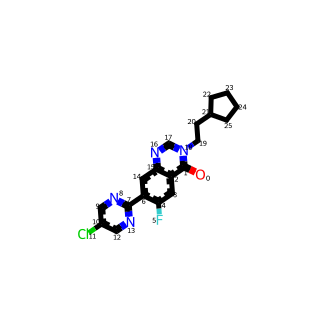 O=c1c2cc(F)c(-c3ncc(Cl)cn3)cc2ncn1CCC1CCCC1